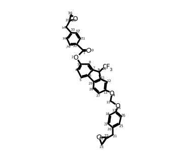 O=C(Oc1ccc2c(c1)C(C(F)(F)F)c1cc(OCOc3ccc(CC4CO4)cc3)ccc1-2)c1ccc(CC2CO2)cc1